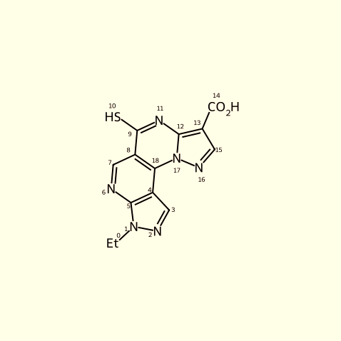 CCn1ncc2c1ncc1c(S)nc3c(C(=O)O)cnn3c12